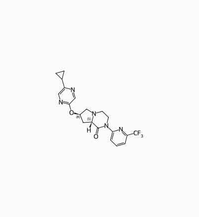 O=C1[C@@H]2C[C@@H](Oc3cnc(C4CC4)cn3)CN2CCN1c1cccc(C(F)(F)F)n1